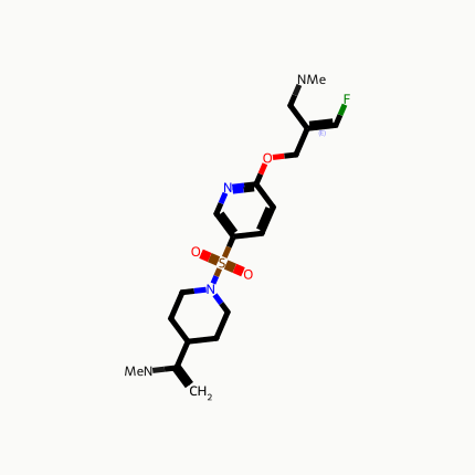 C=C(NC)C1CCN(S(=O)(=O)c2ccc(OC/C(=C/F)CNC)nc2)CC1